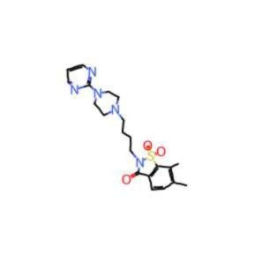 Cc1ccc2c(c1C)S(=O)(=O)N(CCCCN1CCN(c3ncccn3)CC1)C2=O